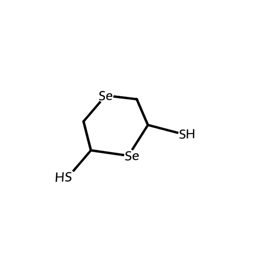 SC1C[Se]CC(S)[Se]1